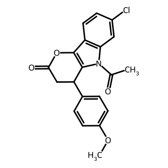 COc1ccc(C2CC(=O)Oc3c2n(C(C)=O)c2cc(Cl)ccc32)cc1